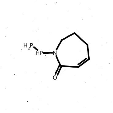 O=C1C=CCCCN1PP